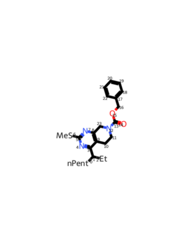 CCCCCC(CC)c1nc(SC)nc2c1CCN(C(=O)OCc1ccccc1)C2